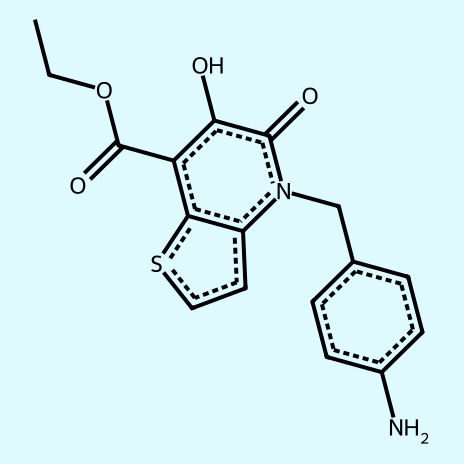 CCOC(=O)c1c(O)c(=O)n(Cc2ccc(N)cc2)c2ccsc12